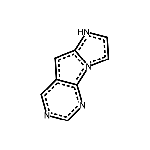 c1ncc2cc3[nH]ccn3c2n1